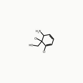 NC1C=CC=C(Cl)C1(Cl)CO